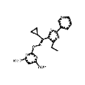 COc1cc(OC)nc(O/N=C(/c2sc(-c3cccnc3)nc2CI)C2CC2)n1